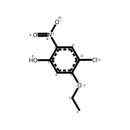 CCOc1cc(O)c([N+](=O)[O-])cc1Cl